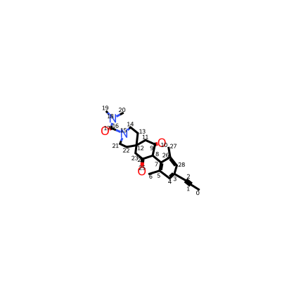 CC#Cc1cc(C)c(C2C(=O)CC3(CCN(C(=O)N(C)C)CC3)CC2=O)c(C)c1